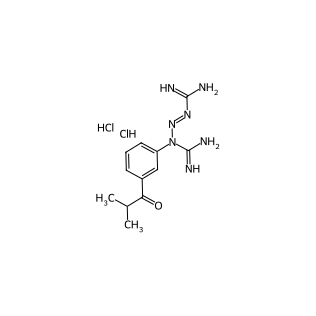 CC(C)C(=O)c1cccc(N(N=NC(=N)N)C(=N)N)c1.Cl.Cl